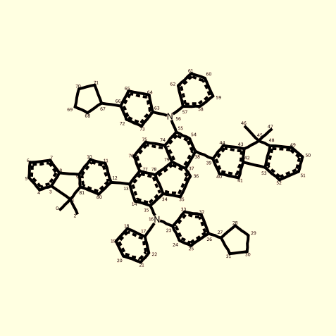 CC1(C)c2ccccc2-c2ccc(-c3cc(N(c4ccccc4)c4ccc(C5CCCC5)cc4)c4ccc5c(-c6ccc7c(c6)C(C)(C)c6ccccc6-7)cc(N(c6ccccc6)c6ccc(C7CCCC7)cc6)c6ccc3c4c56)cc21